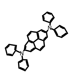 c1ccc(N(c2ccccc2)c2cc3ccc4cc(N(c5ccccc5)c5ccccc5)cc5ccc(c2)c3c45)cc1